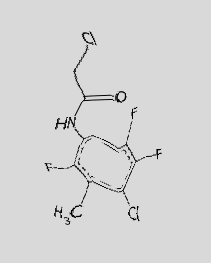 Cc1c(F)c(NC(=O)CCl)c(F)c(F)c1Cl